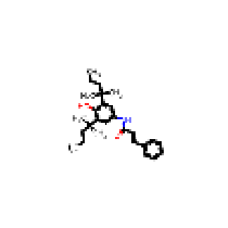 CCCC(C)(C)c1cc(NC(=O)/C=C/c2ccccc2)cc(C(C)(C)CCC)c1O